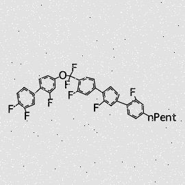 CCCCCc1ccc(-c2ccc(-c3ccc(C(F)(F)Oc4ccc(-c5ccc(F)c(F)c5)c(F)c4)c(F)c3)c(F)c2)c(F)c1